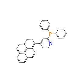 c1ccc(P(c2ccccc2)c2cc(-c3ccc4ccc5cccc6ccc3c4c56)ccn2)cc1